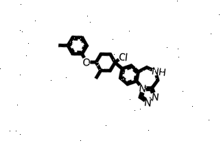 Cc1cccc(OC2CCC(Cl)(c3ccc4c(c3)CNCc3nncn3-4)CC2C)c1